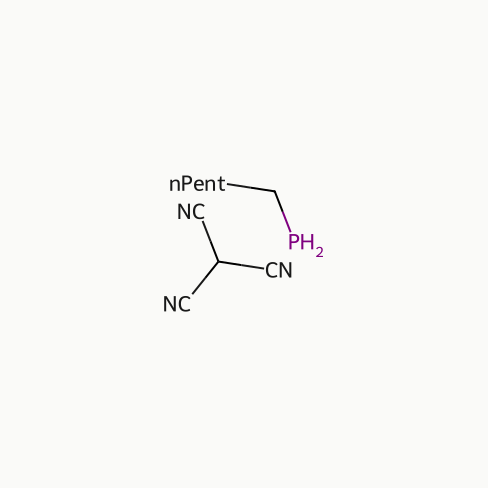 CCCCCCP.N#CC(C#N)C#N